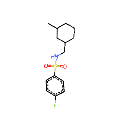 [CH2]C1CCCC(CNS(=O)(=O)c2ccc(F)cc2)C1